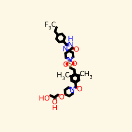 Cc1cc(C(=O)N2CCC(OC[C@@H](O)CO)CC2)cc(C)c1CCS(=O)(=O)N1CCC2(CC1)N=C(C1CCC(CCC(F)(F)F)CC1)NC2=O